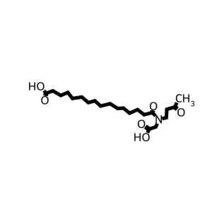 CC(=O)CCN(CC(=O)O)C(=O)CCCCCCCCCCCCCCC(=O)O